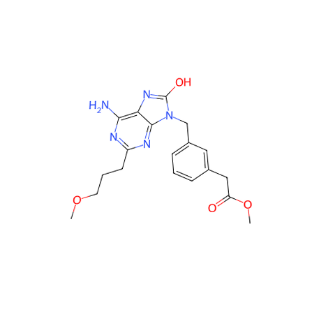 COCCCc1nc(N)c2nc(O)n(Cc3cccc(CC(=O)OC)c3)c2n1